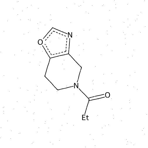 CCC(=O)N1CCc2ocnc2C1